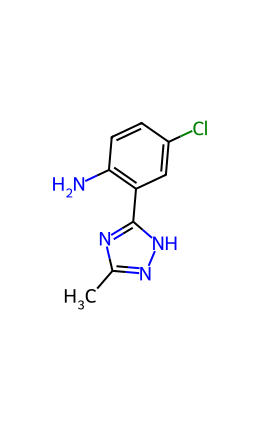 Cc1n[nH]c(-c2cc(Cl)ccc2N)n1